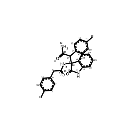 Cc1ccc(CC(=O)N[C@]2(C(C(N)=O)c3ccc(C)cc3)C(=O)Nc3ccccc32)cc1